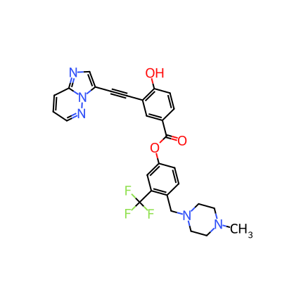 CN1CCN(Cc2ccc(OC(=O)c3ccc(O)c(C#Cc4cnc5cccnn45)c3)cc2C(F)(F)F)CC1